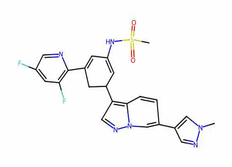 Cn1cc(-c2ccc3c(C4C=C(NS(C)(=O)=O)C=C(c5ncc(F)cc5F)C4)cnn3c2)cn1